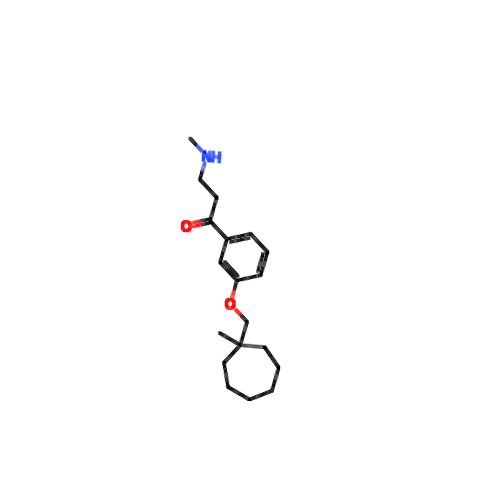 CNCCC(=O)c1cccc(OCC2(C)CCCCCC2)c1